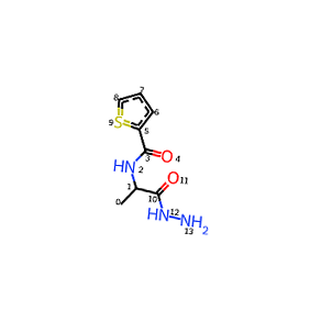 CC(NC(=O)c1cccs1)C(=O)NN